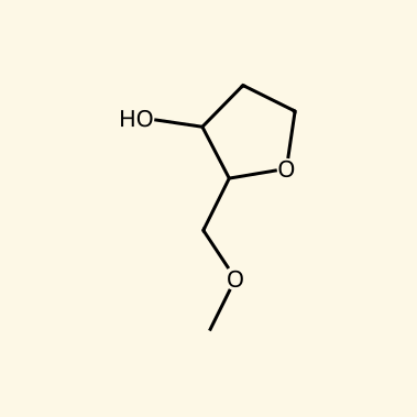 COCC1OCCC1O